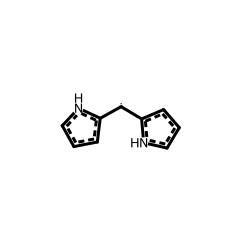 [CH](c1ccc[nH]1)c1ccc[nH]1